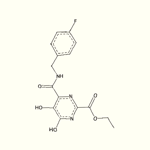 CCOC(=O)c1nc(O)c(O)c(C(=O)NCc2ccc(F)cc2)n1